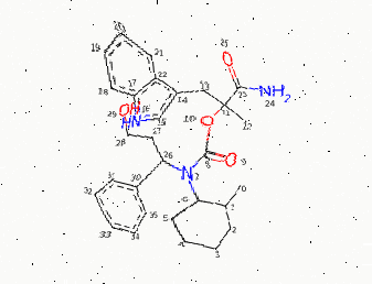 CC1CCCCC1N(C(=O)OC(C)(Cc1c[nH]c2ccccc12)C(N)=O)C(CCO)c1ccccc1